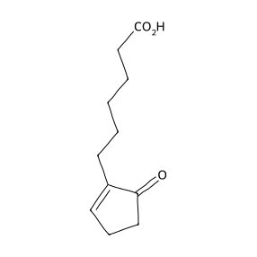 O=C(O)CCCCCC1=CCCC1=O